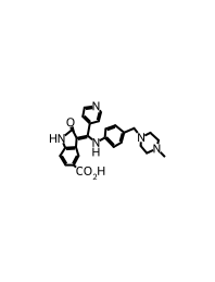 CN1CCN(Cc2ccc(NC(=C3C(=O)Nc4ccc(C(=O)O)cc43)c3ccncc3)cc2)CC1